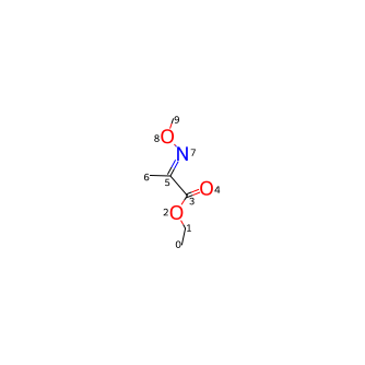 CCOC(=O)/C(C)=N/OC